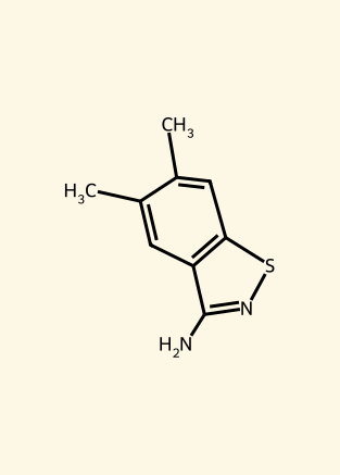 Cc1cc2snc(N)c2cc1C